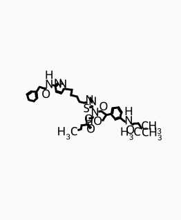 CCCC(=O)OCN(C(=O)C(CO)c1cccc(CNC(=O)CC(C)(C)C)c1)c1nnc(CCCCc2ccc(NC(=O)CC3=CCCC=C3)nn2)s1